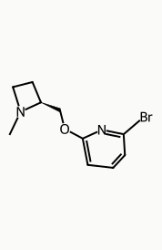 CN1CC[C@H]1COc1cccc(Br)n1